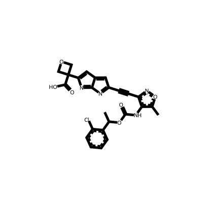 Cc1onc(C#CC2=NC3=NC(C4(C(=O)O)COC4)=CC3=C2)c1NC(=O)OC(C)c1ccccc1Cl